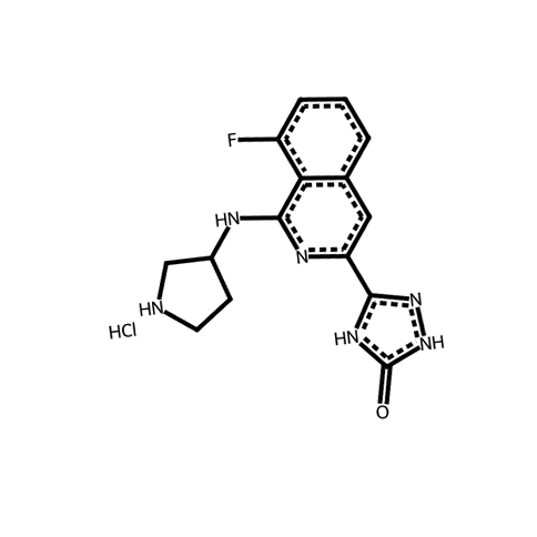 Cl.O=c1[nH]nc(-c2cc3cccc(F)c3c(NC3CCNC3)n2)[nH]1